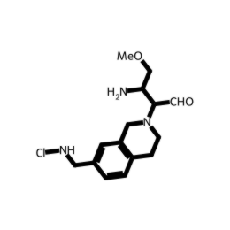 COCC(N)C(C=O)N1CCc2ccc(CNCl)cc2C1